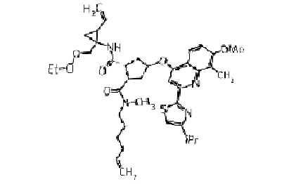 C=CCCCCN(C)C(=O)[C@@H]1C[C@H](Oc2cc(-c3nc(C(C)C)cs3)nc3c(C)c(OC)ccc23)C[C@H]1C(=O)N[C@]1(COOCC)C[C@H]1C=C